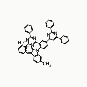 Cc1ccc2c3ccc(C)cc3n(-c3ccc(-c4cc(-c5ccccc5)nc(-c5ccccc5)n4)cc3-c3nc(-c4ccccc4)nc(-c4ccccc4)n3)c2c1